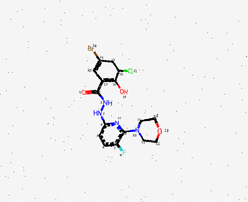 O=C(NNc1ccc(F)c(N2CCOCC2)n1)C1=C(O)C(Cl)CC(Br)=C1